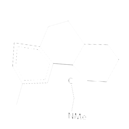 CNCC[C@@]12CCCCC1CCc1ccc(C)cc12